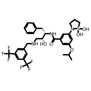 CC(C)Oc1cc(C(=O)N[C@@H](Cc2ccccc2)[C@H](O)CNCc2cc(C(F)(F)F)cc(C(F)(F)F)c2)cc(N2CCCS2(O)O)c1